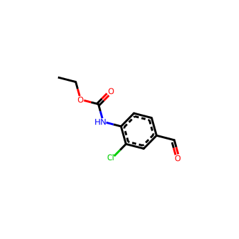 CCOC(=O)Nc1ccc(C=O)cc1Cl